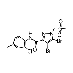 Cc1ccc(NC(=O)c2nn(CS(C)(=O)=O)c(Br)c2Br)c(Cl)c1